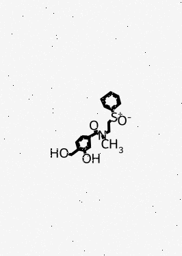 CN(CC[S+]([O-])c1ccccc1)C(=O)c1ccc(CO)c(O)c1